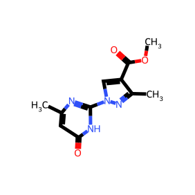 COC(=O)c1cn(-c2nc(C)cc(=O)[nH]2)nc1C